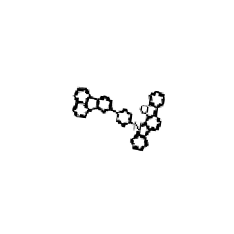 c1cc2c3c(cccc3c1)-c1cc(-c3ccc(-n4c5ccccc5c5ccc6c7ccccc7oc6c54)cc3)ccc1-2